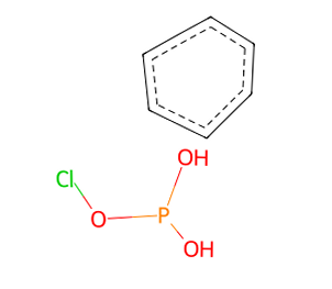 OP(O)OCl.c1ccccc1